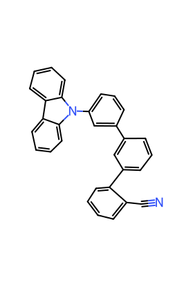 N#Cc1ccccc1-c1cccc(-c2cccc(-n3c4ccccc4c4ccccc43)c2)c1